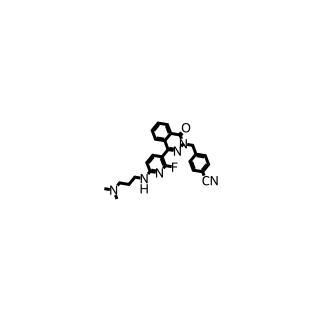 CN(C)CCCNc1ccc(-c2nn(Cc3ccc(C#N)cc3)c(=O)c3ccccc23)c(F)n1